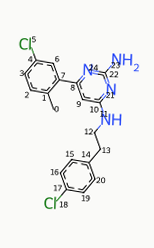 Cc1ccc(Cl)cc1-c1cc(NCCc2ccc(Cl)cc2)nc(N)n1